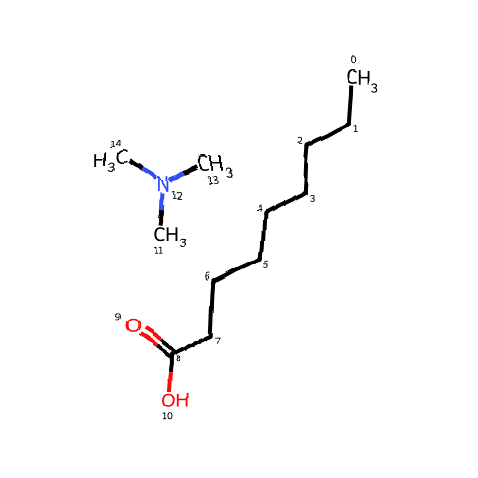 CCCCCCCCC(=O)O.CN(C)C